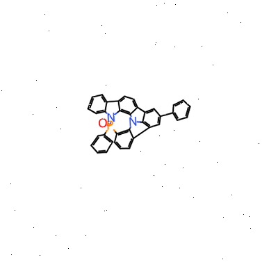 O=P1(c2ccccc2)c2cccc3c4cc(-c5ccccc5)cc5c6ccc7c8ccccc8n1c7c6n(c23)c45